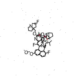 COCOc1cc(-c2ncc3c(N4CC5CCC(C4)N5C(=O)OC(C)(C)C)nc(OC[C@@]45CCCN4C[C@H](F)C5)nc3c2F)c2c(C#C[Si](C(C)C)(C(C)C)C(C)C)c(F)ccc2c1